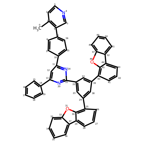 Cc1ccncc1-c1ccc(-c2cc(-c3ccccc3)nc(-c3cc(-c4cccc5c4oc4ccccc45)cc(-c4cccc5c4oc4ccccc45)c3)n2)cc1